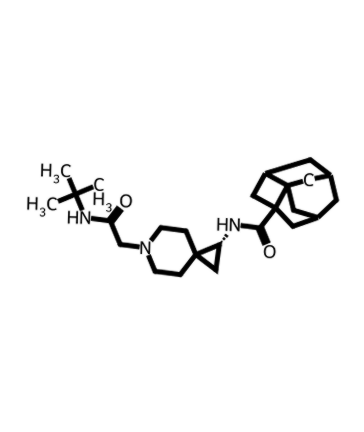 CC(C)(C)NC(=O)CN1CCC2(CC1)C[C@H]2NC(=O)C12CC3CC4CC(C1)C2(C4)C3